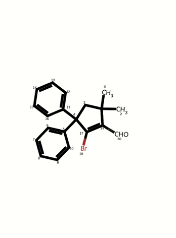 CC1(C)CC(c2ccccc2)(c2ccccc2)C(Br)=C1C=O